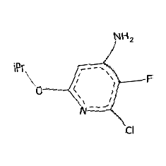 CC(C)Oc1cc(N)c(F)c(Cl)n1